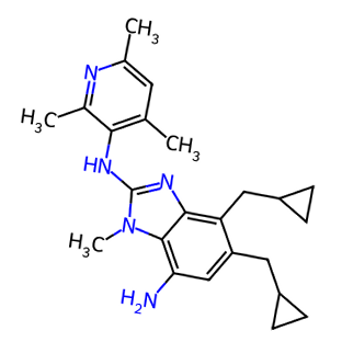 Cc1cc(C)c(Nc2nc3c(CC4CC4)c(CC4CC4)cc(N)c3n2C)c(C)n1